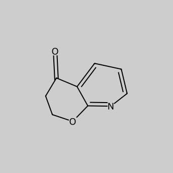 O=C1CCOc2ncccc21